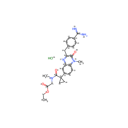 CCOC(=O)CN(C)C(=O)C1(c2ccc3c(c2)nc(Cc2ccc(C(=N)N)cc2)c(=O)n3C)CC1.Cl